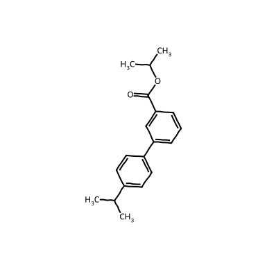 CC(C)OC(=O)c1cccc(-c2ccc(C(C)C)cc2)c1